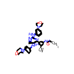 C=CC(=O)Nc1cc(C#N)cc(-c2nc(Nc3cccc(N4CCOCC4)c3)ncc2Nc2ccc(N3CCOCC3)cc2)c1